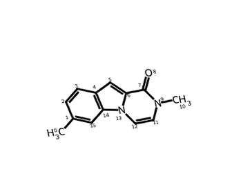 Cc1ccc2cc3c(=O)n(C)ccn3c2c1